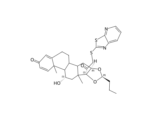 CCC[C@@H]1O[C@@H]2CC3C4CCC5=CC(=O)C=CC5(C)C4[C@@H](O)CC3(C)[C@]2(C(=O)CSc2nc3cccnc3s2)O1